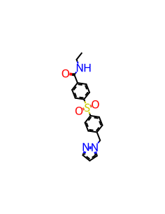 CCNC(=O)c1ccc(S(=O)(=O)c2ccc(Cn3cccn3)cc2)cc1